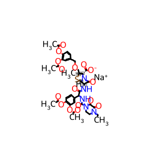 CCN1CCN(C(=O)NC(C(=O)N[C@@H]2C(=O)N3[C@@H]2S[C@@](C)(COCc2ccc(OC(C)=O)c(OC(C)=O)c2)[C@@H]3C(=O)[O-])c2ccc(OC(C)=O)c(OC(C)=O)c2)C(=O)C1=O.[Na+]